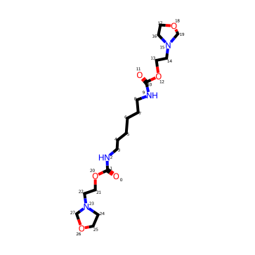 O=C(NCCCCCCNC(=O)OCCN1CCOC1)OCCN1CCOC1